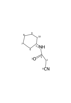 N#CCC(=O)NC1CCCCC1